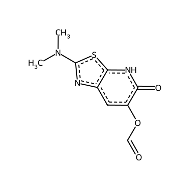 CN(C)c1nc2cc(OC=O)c(=O)[nH]c2s1